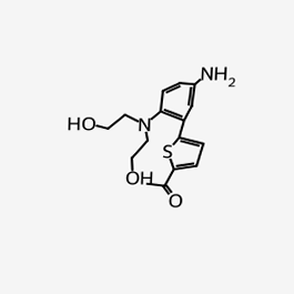 CC(=O)c1ccc(-c2cc(N)ccc2N(CCO)CCO)s1